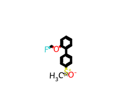 C[S@@+]([O-])c1ccc(-c2ccccc2OCF)cc1